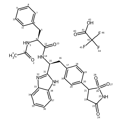 CC(=O)N[C@@H](Cc1ccccc1)C(=O)N[C@@H](Cc1ccc(C2CC(=O)NS2(=O)=O)cc1)c1nc2ccccc2[nH]1.O=C(O)C(F)(F)F